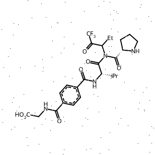 CCC(C(=O)C(F)(F)F)N(C(=O)[C@@H]1CCCN1)C(=O)[C@@H](NC(=O)c1ccc(C(=O)NCC(=O)O)cc1)C(C)C